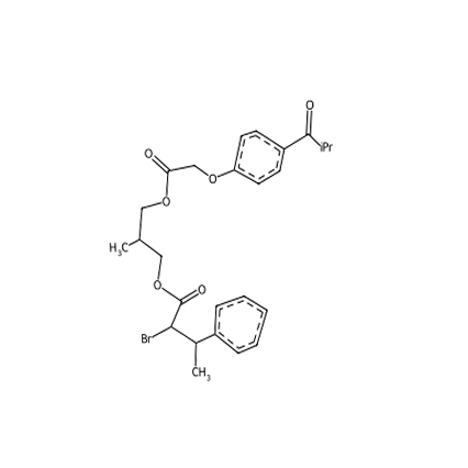 CC(COC(=O)COc1ccc(C(=O)C(C)C)cc1)COC(=O)C(Br)C(C)c1ccccc1